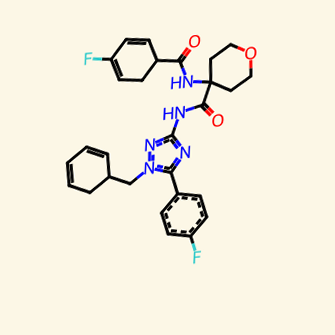 O=C(NC1(C(=O)Nc2nc(-c3ccc(F)cc3)n(CC3C=CC=CC3)n2)CCOCC1)C1C=CC(F)=CC1